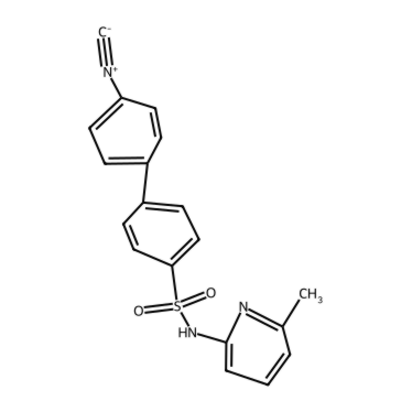 [C-]#[N+]c1ccc(-c2ccc(S(=O)(=O)Nc3cccc(C)n3)cc2)cc1